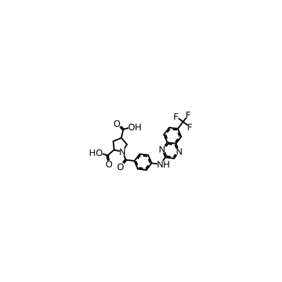 O=C(O)C1CC(C(=O)O)N(C(=O)c2ccc(Nc3cnc4cc(C(F)(F)F)ccc4n3)cc2)C1